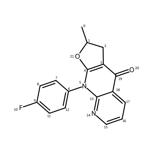 CC1Cc2c(n(-c3ccc(F)cc3)c3ncccc3c2=O)O1